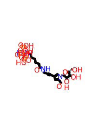 NCC(CCCC(=O)NCC#Cc1cc(C=O)n([C@@H]2O[C@H](CO)[C@@H](O)[C@H]2O)c1)OP(=O)(O)OP(=O)(O)OP(=O)(O)O